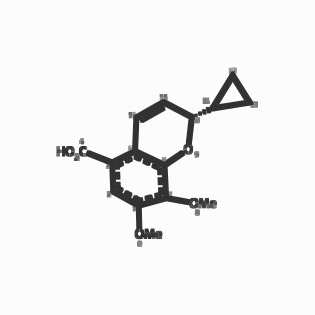 COc1cc(C(=O)O)c2c(c1OC)O[C@@H](C1CC1)C=C2